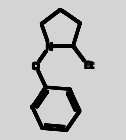 CCC1CCCN1Oc1ccccc1